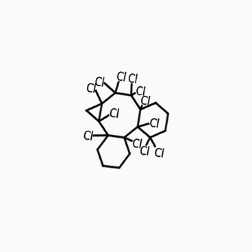 ClC1(Cl)CCCC2(Cl)C(Cl)(Cl)C(Cl)(Cl)C3(Cl)CC3(Cl)C3(Cl)CCCCC3(Cl)C12Cl